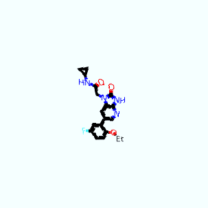 CCOc1ccc(F)cc1-c1cnc2[nH]c(=O)n(CC(=O)NC3CC3)c2c1